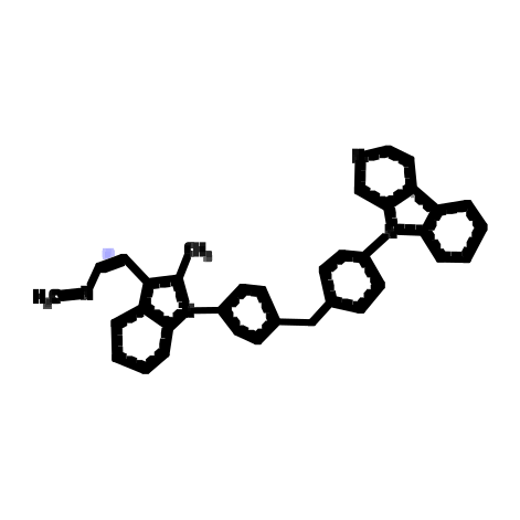 C=N/C=C\c1c(C)n(-c2ccc(Cc3ccc(-n4c5ccccc5c5ccncc54)cc3)cc2)c2ccccc12